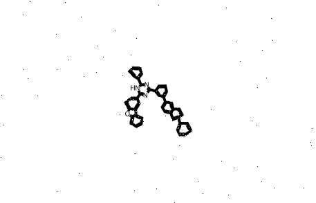 c1ccc(-c2ccc3cc(-c4cccc(C5=NC(c6ccccc6)NC(c6ccc7oc8ccccc8c7c6)=N5)c4)ccc3c2)cc1